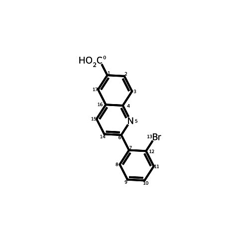 O=C(O)c1ccc2nc(-c3ccccc3Br)ccc2c1